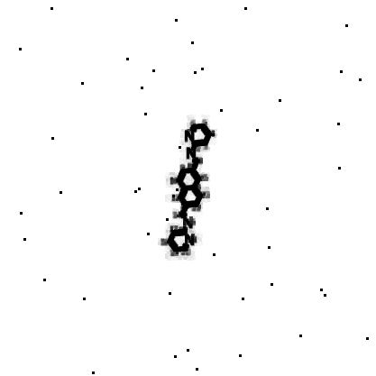 C(=N\c1ccccn1)/c1ccc2cc(/C=N/c3ccccn3)ccc2c1